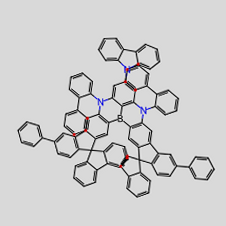 c1ccc(-c2ccc3c(c2)-c2cc4c(cc2C32c3ccccc3-c3ccccc32)B2c3cc5c(cc3N(c3ccccc3-c3ccccc3)c3cc(-n6c7ccccc7c7ccccc76)cc(c32)N4c2ccccc2-c2ccccc2)-c2cc(-c3ccccc3)ccc2C52c3ccccc3-c3ccccc32)cc1